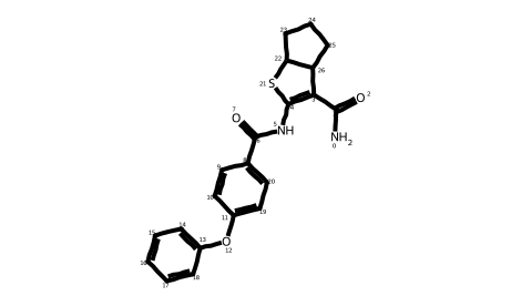 NC(=O)C1=C(NC(=O)c2ccc(Oc3ccccc3)cc2)SC2CCCC12